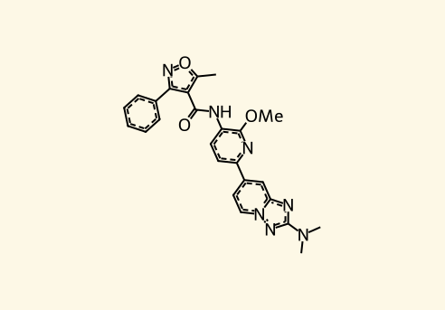 COc1nc(-c2ccn3nc(N(C)C)nc3c2)ccc1NC(=O)c1c(-c2ccccc2)noc1C